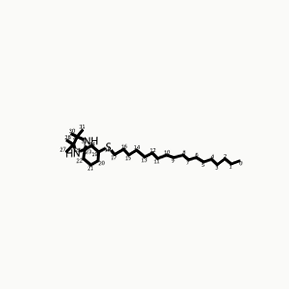 CCCCCCCCCCCCCCCCCCSC1CCCC2(C1)NC(C)(C)C(C)(C)N2